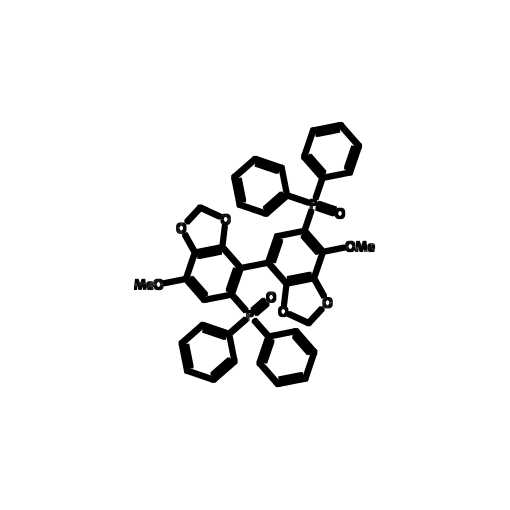 COc1cc(P(=O)(c2ccccc2)c2ccccc2)c(-c2cc(P(=O)(c3ccccc3)c3ccccc3)c(OC)c3c2OCO3)c2c1OCO2